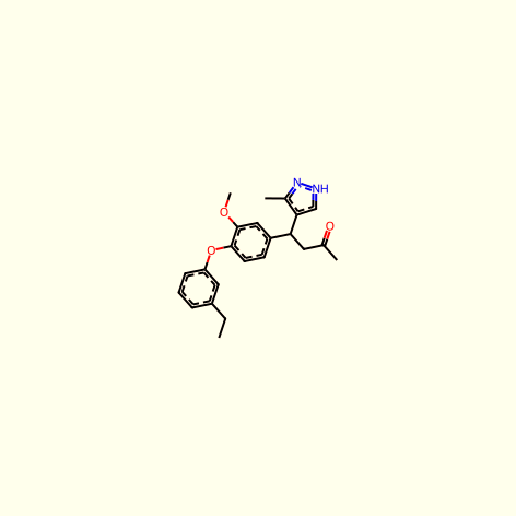 CCc1cccc(Oc2ccc(C(CC(C)=O)c3c[nH]nc3C)cc2OC)c1